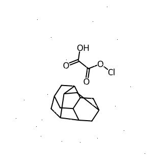 C1C2CC3C4CC5CC(C14)C(C2)C3C5.O=C(O)C(=O)OCl